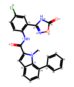 Cn1c(C(=O)Nc2ccc(Cl)cc2-c2noc(=O)[nH]2)cc2cccc(-c3ccccc3)c21